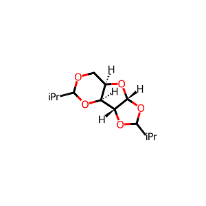 CC(C)C1OC[C@H]2O[C@@H]3OC(C(C)C)O[C@@H]3[C@H]2O1